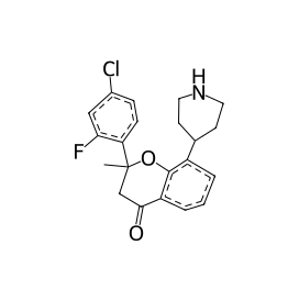 CC1(c2ccc(Cl)cc2F)CC(=O)c2cccc(C3CCNCC3)c2O1